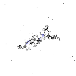 C=C1/C(=C\C=C2/CCC[C@]3(C)C([C@H](C)/C=C\C(C)C(C)(C)C)CC[C@@H]23)C[C@@H](C)C[C@@H]1OP